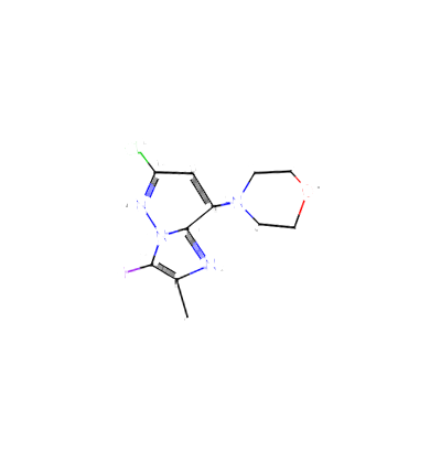 Cc1nc2c(N3CCOCC3)cc(Cl)nn2c1I